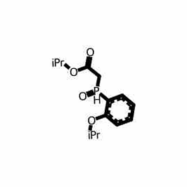 CC(C)OC(=O)C[PH](=O)c1ccccc1OC(C)C